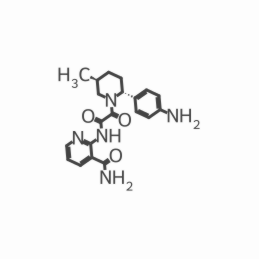 C[C@H]1CC[C@H](c2ccc(N)cc2)N(C(=O)C(=O)Nc2ncccc2C(N)=O)C1